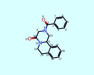 O=C(c1ccccc1)N1CC(=O)N2CCc3ccccc3C2C1